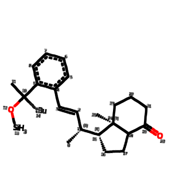 C[C@H](C=Cc1ccccc1C(C)(O[SiH3])C(C)(C)C)[C@H]1CCC2C(=O)CCC[C@@]21C